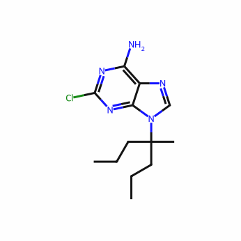 CCCC(C)(CCC)n1cnc2c(N)nc(Cl)nc21